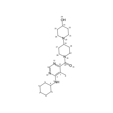 Cc1c(NC2CCCCC2)ncnc1C(=O)N1CCC(N2CCC(O)CC2)CC1